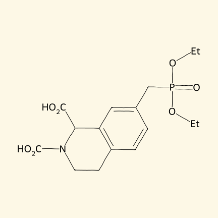 CCOP(=O)(Cc1ccc2c(c1)C(C(=O)O)N(C(=O)O)CC2)OCC